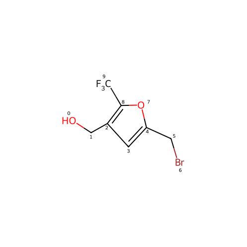 OCc1cc(CBr)oc1C(F)(F)F